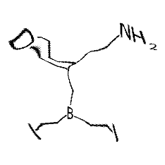 NC(=O)B(I)I